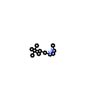 c1ccc(-c2ccc3ccc4ccc(-c5ccc(-c6ccc7c8c(cccc68)-c6c-7c(-c7ccccc7)c7ccccc7c6-c6ccccc6)cc5)nc4c3n2)cc1